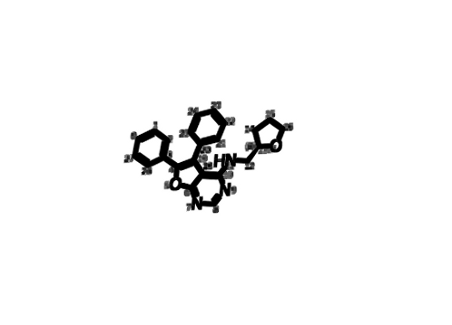 c1ccc(-c2oc3ncnc(NC[C@H]4CCCO4)c3c2-c2ccccc2)cc1